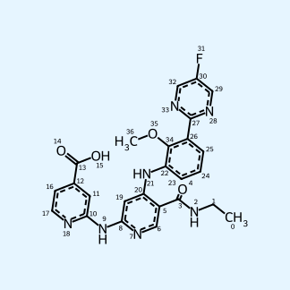 CCNC(=O)c1cnc(Nc2cc(C(=O)O)ccn2)cc1Nc1cccc(-c2ncc(F)cn2)c1OC